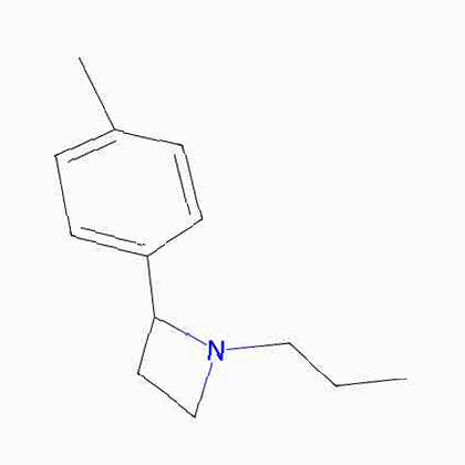 CCCN1CCC1c1ccc(C)cc1